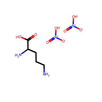 NCCCC(N)C(=O)O.O=[N+]([O-])O.O=[N+]([O-])O